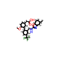 COc1ccc(CC(=O)O)cc1-c1ccc(C(F)(F)F)cc1CNc1nc2cc(C)ccc2o1